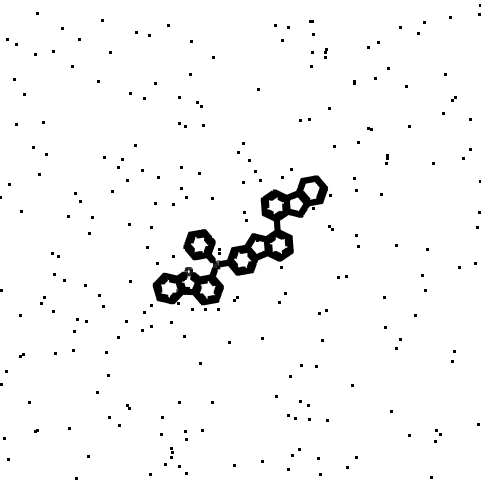 C1=CC2=C(CC1)c1cccc(-c3cccc4c3Cc3cc(N(c5ccccc5)c5cccc6c5oc5ccccc56)ccc3-4)c1C2